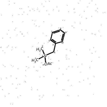 [CH2]C(=O)O[Si](C)(C)Cc1ccccc1